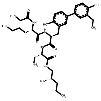 CCC[C@H](N)CNC(=O)[C@H](CN)NC(=O)[C@H](Cc1cc(-c2ccc(O)c(CC)c2)ccc1O)NC(=O)[C@H](CCCN)NC(=O)CN